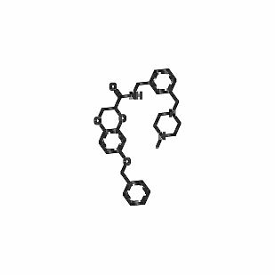 CN1CCN(Cc2cccc(CNC(=O)C3COc4ccc(OCc5ccccc5)cc4O3)c2)CC1